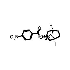 O=C(O[C@@H]1C[C@H]2CC[C@@H](C1)N2C(=O)O)c1ccc([N+](=O)[O-])cc1